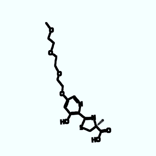 COCCOCCOCCOc1cnc(C2=N[C@@](C)(C(=O)O)CS2)c(O)c1